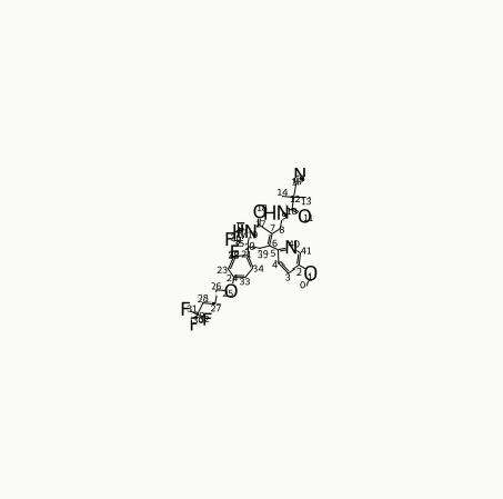 COc1ccc(C2=C(CNC(=O)C(C)(C)C#N)C(=O)N[C@@](c3ccc(OCCCC(F)(F)F)cc3)(C(F)(F)F)C2)nc1